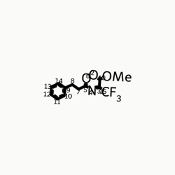 COC(=O)C(=NC(=O)CCc1ccccc1)C(F)(F)F